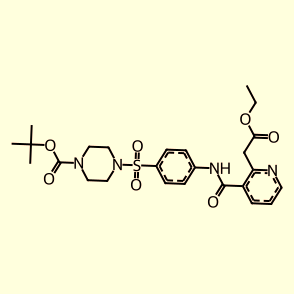 CCOC(=O)Cc1ncccc1C(=O)Nc1ccc(S(=O)(=O)N2CCN(C(=O)OC(C)(C)C)CC2)cc1